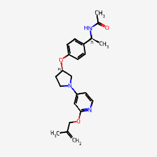 C=C(C)COc1cc(N2CC[C@@H](Oc3ccc([C@H](C)NC(C)=O)cc3)C2)ccn1